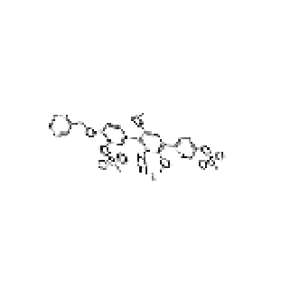 COc1cc(-c2ccc(OS(C)(=O)=O)cc2)c(OC)c(N)c1-c1ccc(OCc2ccccc2)c(OS(C)(=O)=O)c1